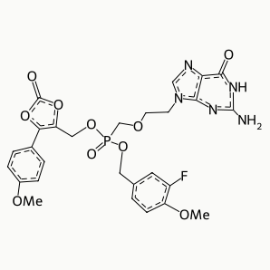 COc1ccc(-c2oc(=O)oc2COP(=O)(COCCn2cnc3c(=O)[nH]c(N)nc32)OCc2ccc(OC)c(F)c2)cc1